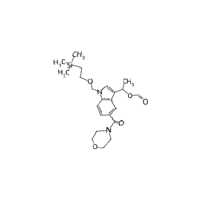 CC(OC=O)c1cn(COCC[Si](C)(C)C)c2ccc(C(=O)N3CCOCC3)cc12